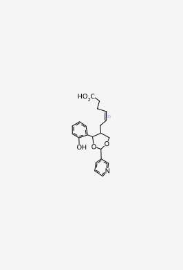 O=C(O)CC/C=C\CC1COC(c2cccnc2)OC1c1ccccc1O